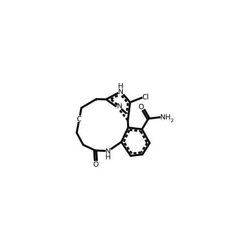 NC(=O)c1cccc2c1-c1nc([nH]c1Cl)[CH]CCCCC(=O)N2